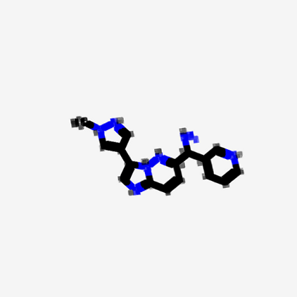 Cn1cc(-c2cnc3ccc(C(N)c4cccnc4)nn23)cn1